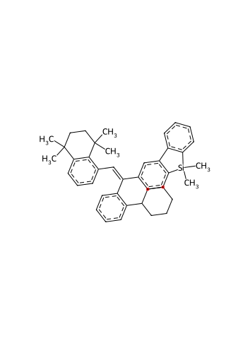 CC1(C)CCC(C)(C)c2c(/C=C(/c3ccc4c(c3)-c3ccccc3[Si]4(C)C)c3ccccc3C3CCCCC3)cccc21